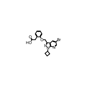 O=C(O)Cc1ccccc1OCc1nn(C2CCC2)c2ncc(Br)cc12